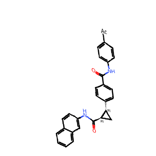 CC(=O)c1ccc(NC(=O)c2ccc([C@@H]3C[C@H]3C(=O)Nc3ccc4ccccc4c3)cc2)cc1